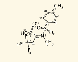 Cc1ccc(S(=O)(=O)N(C)C(CC(F)(F)F)C(=O)O)cc1